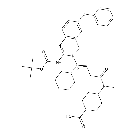 CN(C(=O)CC[C@@H](C1CCCCC1)N1Cc2cc(Oc3ccccc3)ccc2N=C1NC(=O)OC(C)(C)C)C1CCC(C(=O)O)CC1